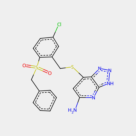 Nc1cc(SCc2cc(Cl)ccc2S(=O)(=O)Cc2ccccc2)c2nn[nH]c2n1